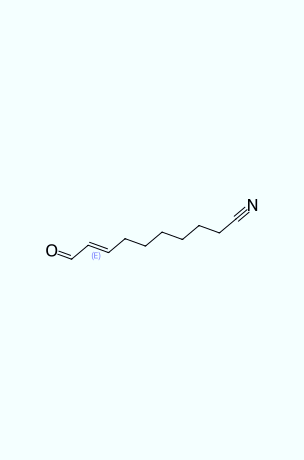 N#CCCCCCC/C=C/C=O